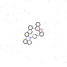 C1=CCC(N(c2ccccc2-c2ccccc2)C2C=CC(c3cccc4oc5c6ccccc6c(-c6cccc7c6C=CCC7)cc5c34)=CC2)C=C1